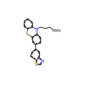 CNCCCN1c2ccccc2Sc2cc(-c3ccc4scnc4c3)ccc21